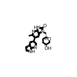 Cc1nc2[nH]c(=O)n(C[C@H]3CC[C@@H](O)CO3)c2cc1-c1cnc2[nH]ccc2c1